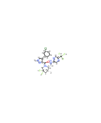 C[C@@H]1CC(F)(F)CN(C(=O)c2nn(C)cc2-c2cccc(Cl)c2)[C@@H]1CNc1cnc(C(F)(F)F)cn1